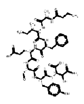 CCCC(=O)N[C@@H](C)C(=O)N[C@H](C(=O)N[C@@H](Cc1ccccc1)C(=O)N[C@@H](CCC(=O)O)C(=O)N[C@@H](CO)C(=O)N[C@@H](Cc1ccc(O)cc1)C(=O)N[C@H](C(=O)O)C(O)C(N)=O)[C@@H](C)CC